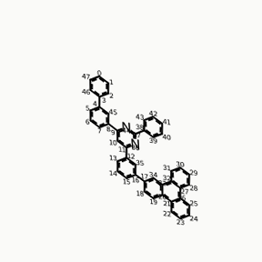 c1ccc(-c2cccc(-c3cc(-c4cccc(-c5ccc6c7ccccc7c7ccccc7c6c5)c4)nc(-c4ccccc4)n3)c2)cc1